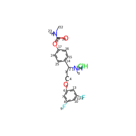 CNC(CCOc1cc(F)cc(F)c1)c1ccc(OC(=O)N(C)C)cc1.Cl